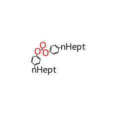 CCCCCCCc1ccc(OC(=O)Oc2ccc(CCCCCCC)cc2)cc1